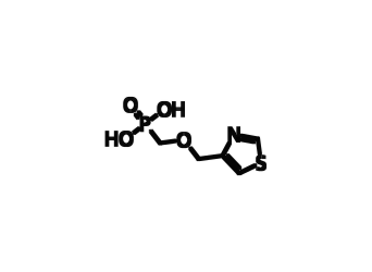 O=P(O)(O)COCc1cscn1